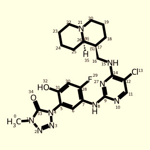 Cn1nnn(-c2cc(Nc3ncc(Cl)c(NC[C@@H]4CCCN5CCCC[C@H]45)n3)c(F)cc2O)c1=O